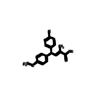 COc1ccc(C(C=C(C)C(=O)O)c2ccc(Cl)cc2)cc1